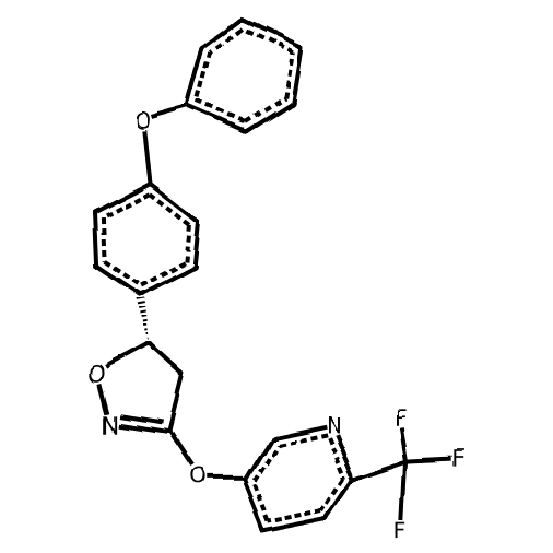 FC(F)(F)c1ccc(OC2=NO[C@H](c3ccc(Oc4ccccc4)cc3)C2)cn1